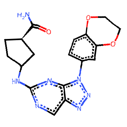 NC(=O)[C@@H]1CCC(Nc2ncc3nnn(-c4ccc5c(c4)OCCO5)c3n2)C1